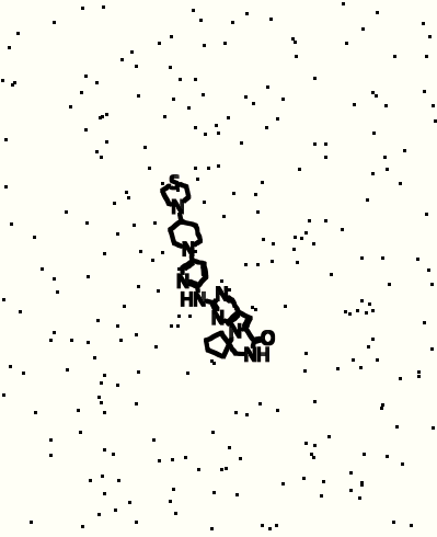 O=C1NCC2(CCCC2)n2c1cc1cnc(Nc3ccc(N4CCC(N5CCSCC5)CC4)cn3)nc12